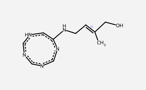 C/C(=C\CNc1c[nH]cncncn1)CO